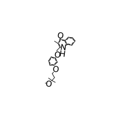 COC(C)(C)CCOc1cccc(OCc2[nH]c3ccccc3c(=O)c2C)c1